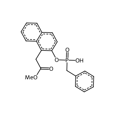 COC(=O)Cc1c(OP(=O)(O)Cc2ccccc2)ccc2ccccc12